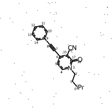 CC(C)CCn1ccc(C#Cc2ccccc2)c(C#N)c1=O